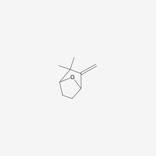 C=C1C2CCC(O2)C1(C)C